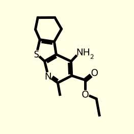 CCOC(=O)c1c(C)nc2sc3c(c2c1N)CCCC3